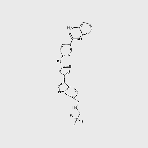 Nc1ccccc1NC(=O)c1ccc(Nc2ncc(-c3cnc4cc(CNCC(F)(F)F)ccn34)s2)cc1